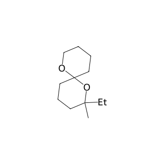 CCC1(C)CCCC2(CCCCO2)O1